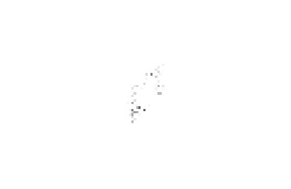 CC1C(c2cccc(-c3ccc(-c4ccc5ccc6c(-c7ccccc7)cc(-c7ccccc7)nc6c5n4)cc3)c2)=NC(c2ccccc2)=CC1c1ccccc1